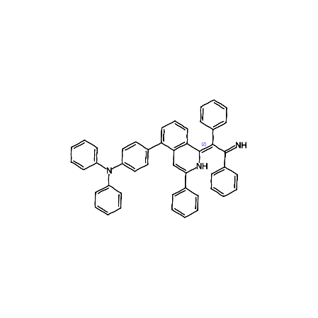 N=C(/C(=C1\NC(c2ccccc2)=Cc2c1cccc2-c1ccc(N(c2ccccc2)c2ccccc2)cc1)c1ccccc1)c1ccccc1